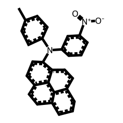 Cc1ccc(N(c2cccc([N+](=O)[O-])c2)c2ccc3ccc4cccc5ccc2c3c45)cc1